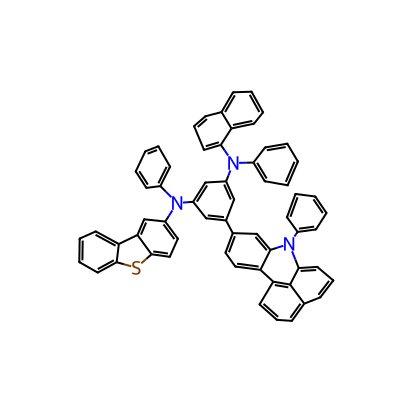 c1ccc(N(c2cc(-c3ccc4c(c3)N(c3ccccc3)c3cccc5cccc-4c35)cc(N(c3ccccc3)c3cccc4ccccc34)c2)c2ccc3sc4ccccc4c3c2)cc1